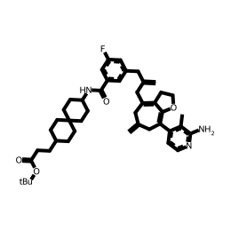 C=C1CC(CC(=C)Cc2cc(F)cc(C(=O)NC3CCC4(CCC(CCC(=O)OC(C)(C)C)CC4)CC3)c2)=C2CCOC2=C(c2ccnc(N)c2C)C1